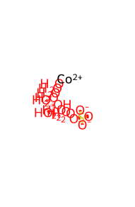 O.O.O.O.O.O.O.O=S(=O)([O-])[O-].OB(O)O.[Co+2]